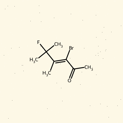 CC(=O)/C(Br)=C(\C)C(C)(C)F